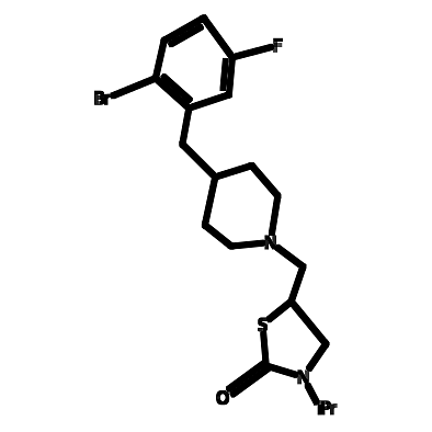 CC(C)N1CC(CN2CCC(Cc3cc(F)ccc3Br)CC2)SC1=O